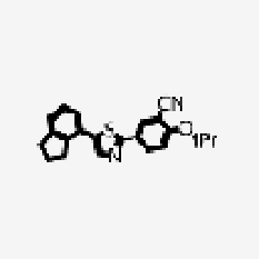 CC(C)OC1=CC[C@@H](c2ncc(-c3cccc4c3CCC4)s2)C=C1C#N